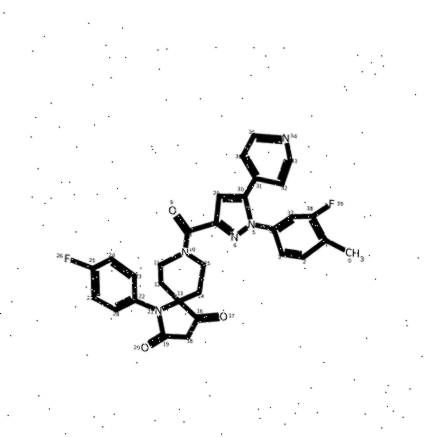 Cc1ccc(-n2nc(C(=O)N3CCC4(CC3)C(=O)CC(=O)N4c3ccc(F)cc3)cc2-c2ccncc2)cc1F